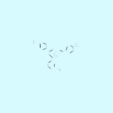 CN(C)c1ccc(/C=C/c2cc(-c3ccc(Br)cc3)cc(-c3cccc(Br)c3)[n+]2C)cc1.[I-]